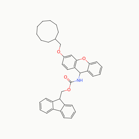 O=C(NC1c2ccccc2Oc2cc(OCC3CCCCCCCC3)ccc21)OCC1c2ccccc2-c2ccccc21